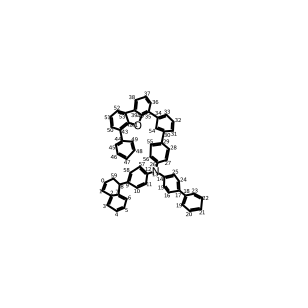 C1=Cc2ccccc2C(c2ccc(N(c3ccc(-c4ccccc4)cc3)c3ccc(-c4cccc(-c5cccc6c5oc5c(-c7ccccc7)cccc56)c4)cc3)cc2)C1